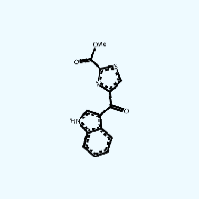 COC(=O)c1nc(C(=O)c2c[nH]c3ccccc23)cs1